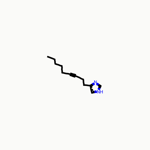 CCCCCC#CCCc1c[nH]cn1